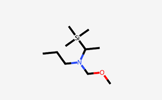 CCCN(COC)C(C)[Si](C)(C)C